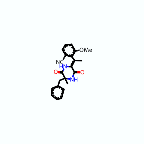 COc1cccc(C#N)c1C(C)=C1NC(=O)C(C)(Cc2ccccc2)NC1=O